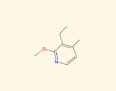 CCc1c(C)ccnc1OC